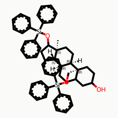 C[C@]12CC[C@@H]3[C@@H](CCC4CC(O)CC[C@@]43CO[Si](c3ccccc3)(c3ccccc3)c3ccccc3)[C@@H]1CCC2O[Si](c1ccccc1)(c1ccccc1)c1ccccc1